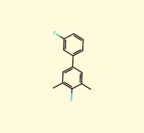 Cc1cc(-c2cccc(F)c2)cc(C)c1F